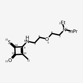 CCCN(CC)CCOCCNc1c(C)c(=O)c1=S